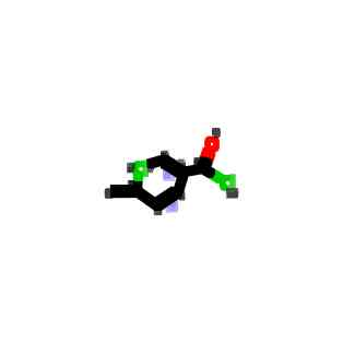 C=C(Cl)/C=C\C(=C/C)C(=O)Cl